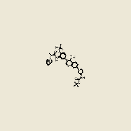 CC(C(=O)Nc1cc(N2C=Nc3cc(N4CC[C@H](NC(=O)OC(C)(C)C)C4)ccc3C2O)ccc1OC(F)(F)F)N1CC2CC(C1)O2